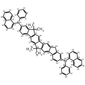 CC1(C)c2cc(N(c3ccccc3)c3cccc4ccccc34)ccc2-c2cc3c(cc21)-c1cc2c(cc1C3(C)C)-c1ccc(N(c3ccccc3)c3cccc4ccccc34)cc1C2